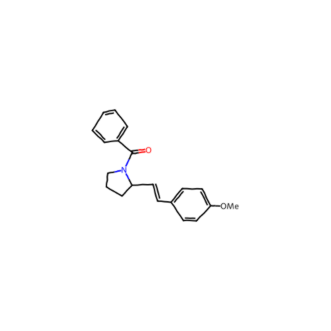 COc1ccc(C=CC2CCCN2C(=O)c2ccccc2)cc1